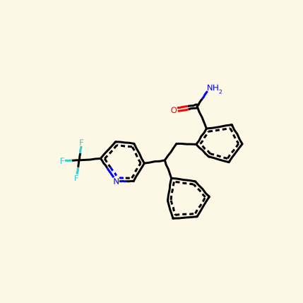 NC(=O)c1ccccc1CC(c1ccccc1)c1ccc(C(F)(F)F)nc1